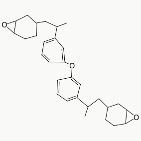 CC(CC1CCC2OC2C1)c1cccc(Oc2cccc(C(C)CC3CCC4OC4C3)c2)c1